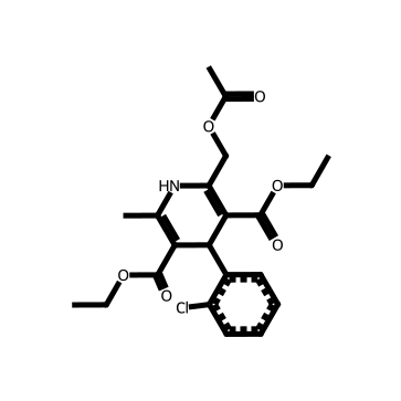 CCOC(=O)C1=C(C)NC(COC(C)=O)=C(C(=O)OCC)C1c1ccccc1Cl